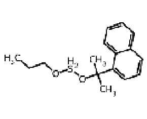 CCCO[SiH2]OC(C)(C)c1cccc2ccccc12